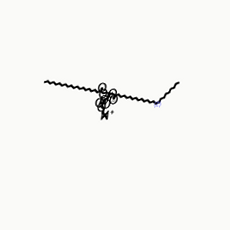 CCCCCCCC/C=C\CCCCCCCCCCCCCC(=O)O[C@H](COC(=O)CCCCCCCCCCCCCCCCCCC)COP(=O)([O-])OCC[N+](C)(C)C